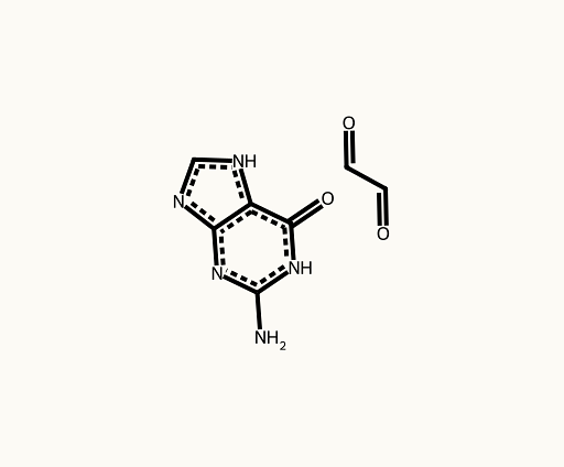 Nc1nc2nc[nH]c2c(=O)[nH]1.O=CC=O